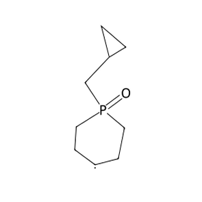 O=P1(CC2CC2)CC[CH]CC1